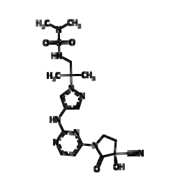 CN(C)S(=O)(=O)NCC(C)(C)n1cc(Nc2nccc(N3CC[C@](O)(C#N)C3=O)n2)cn1